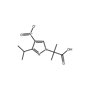 CC(C)c1nn(C(C)(C)C(=O)O)cc1[N+](=O)[O-]